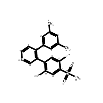 Cc1cc(C)cc(-c2ccncc2-c2cc(F)c(S(C)(=O)=O)cc2F)c1